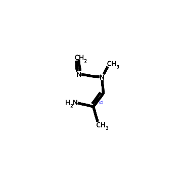 C=NN(C)/C=C(/C)N